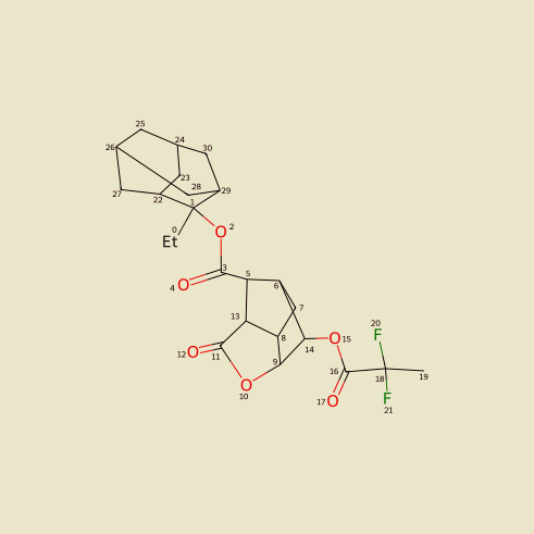 CCC1(OC(=O)C2C3CC4C(OC(=O)C42)C3OC(=O)C(C)(F)F)C2CC3CC(C2)CC1C3